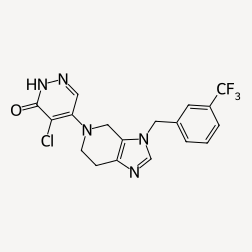 O=c1[nH]ncc(N2CCc3ncn(Cc4cccc(C(F)(F)F)c4)c3C2)c1Cl